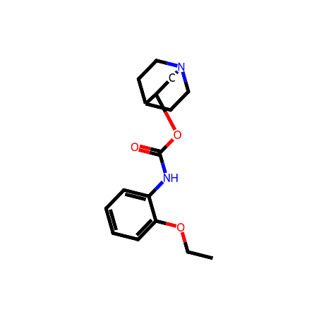 CCOc1ccccc1NC(=O)OC1CN2CCC1CC2